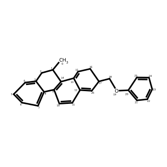 CC1Cc2ccccc2-c2ccc3c(c21)=CCC(COc1ccccc1)C=3